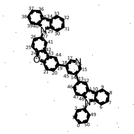 c1ccc(-n2c3ccccc3c3cc(-c4cncc(-c5ccc6oc7ccc(-n8c9ccccc9c9ccccc98)cc7c6c5)c4)ccc32)cc1